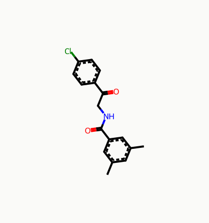 Cc1cc(C)cc(C(=O)NCC(=O)c2ccc(Cl)cc2)c1